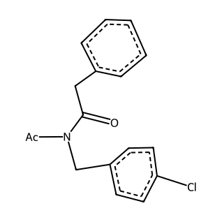 CC(=O)N(Cc1ccc(Cl)cc1)C(=O)Cc1ccccc1